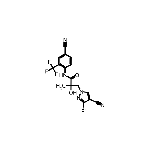 CC(O)(Cn1cc(C#N)c(Br)n1)C(=O)Nc1ccc(C#N)cc1C(F)(F)F